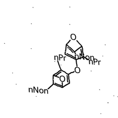 CCCCCCCCCc1c2cc(Oc3cc4c(CCCCCCCCC)c(c3CCC)O4)c(CCC)c1O2